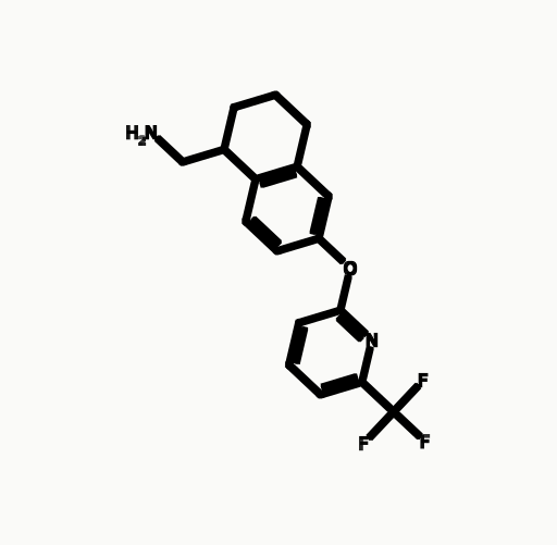 NCC1CCCc2cc(Oc3cccc(C(F)(F)F)n3)ccc21